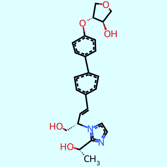 C[C@H](O)c1nccn1[C@@H](/C=C/c1ccc(-c2ccc(O[C@@H]3COC[C@H]3O)cc2)cc1)CO